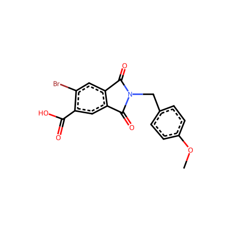 COc1ccc(CN2C(=O)c3cc(Br)c(C(=O)O)cc3C2=O)cc1